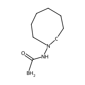 BC(=O)NN1CCCCCCC1